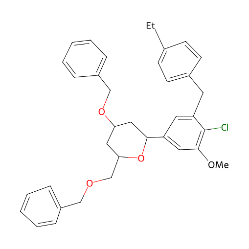 CCc1ccc(Cc2cc(C3CC(OCc4ccccc4)CC(COCc4ccccc4)O3)cc(OC)c2Cl)cc1